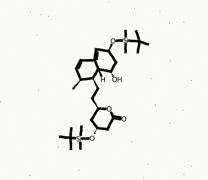 C[C@H]1C=CC2=C[C@@H](O[Si](C)(C)C(C)(C)C)C[C@H](O)[C@@H]2[C@H]1CC[C@@H]1C[C@@H](O[Si](C)(C)C(C)(C)C)CC(=O)O1